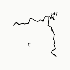 CCCCCCCCCC[N+](C)(O)CCCCCCCCCC.[Cl-]